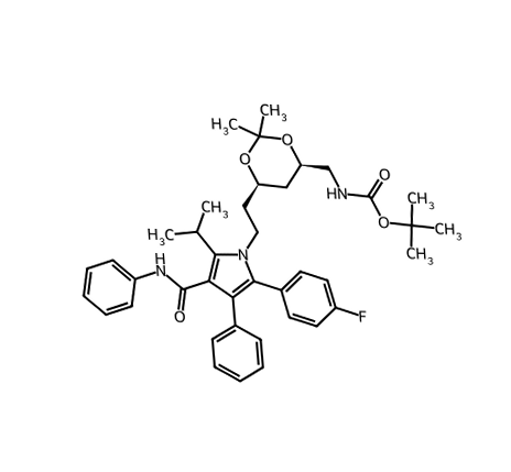 CC(C)c1c(C(=O)Nc2ccccc2)c(-c2ccccc2)c(-c2ccc(F)cc2)n1CC[C@@H]1C[C@H](CNC(=O)OC(C)(C)C)OC(C)(C)O1